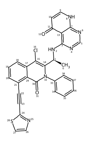 C[C@H](Nc1ncnc2[nH]ccc(=O)c12)c1c(Cl)c2cccc(C#Cc3nccs3)c2c(=O)n1-c1ccccc1